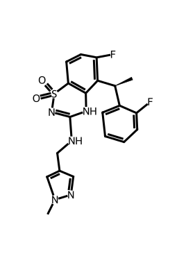 C[C@@H](c1ccccc1F)c1c(F)ccc2c1NC(NCc1cnn(C)c1)=NS2(=O)=O